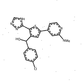 CNc1cc(-c2cc(C(O)c3ccc(Cl)cc3)c(-c3nnc[nH]3)s2)ccn1